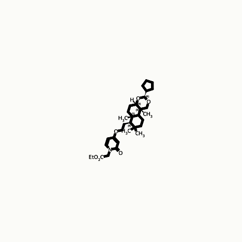 CCOC(=O)Cn1ccc(OCC[C@@H]2C(C)(C)CCC3[C@]4(C)CO[C@@H](C5CCCC5)O[C@@H]4CC[C@]32C)cc1=O